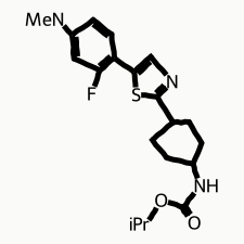 CNc1ccc(-c2cnc(C3CCC(NC(=O)OC(C)C)CC3)s2)c(F)c1